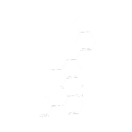 CCc1cc(-c2cccc(OC)c2)cc(F)c1NC1=C(C(=O)N=O)C=CCN1